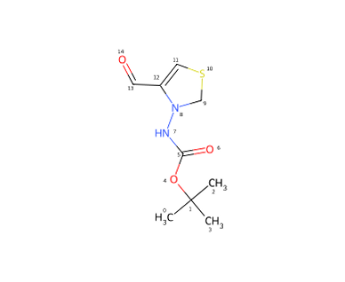 CC(C)(C)OC(=O)NN1CSC=C1C=O